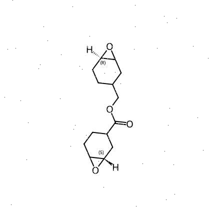 O=C(OCC1CC[C@H]2OC2C1)C1CCC2O[C@H]2C1